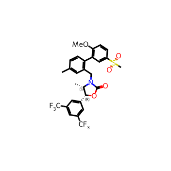 COc1ccc(S(C)(=O)=O)cc1-c1ccc(C)cc1CN1C(=O)O[C@H](c2cc(C(F)(F)F)cc(C(F)(F)F)c2)[C@@H]1C